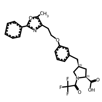 Cc1oc(-c2ccccc2)nc1CCOc1cccc(C[C@H]2C[C@@H](C(=O)O)N(C(=O)C(F)(F)F)C2)c1